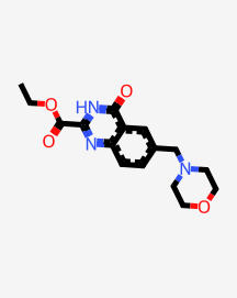 CCOC(=O)c1nc2ccc(CN3CCOCC3)cc2c(=O)[nH]1